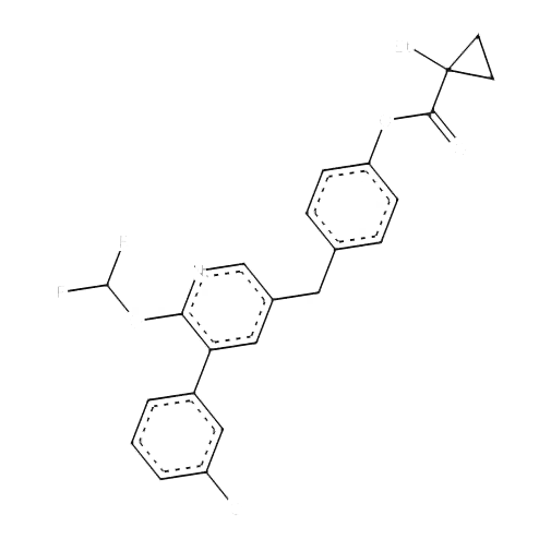 CCC1(C(=O)Oc2ccc(Cc3cnc(OC(F)F)c(-c4cccc(Cl)c4)c3)cc2)CC1